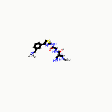 C=NCc1cccc(-c2csc(NC(=O)CNC(=O)/C(C=N)=C/NC(C)(C)C)n2)c1